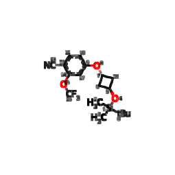 CC(C)(C)[Si](C)(C)O[C@H]1C[C@H](Oc2ccc(C#N)c(OC(F)(F)F)c2)C1